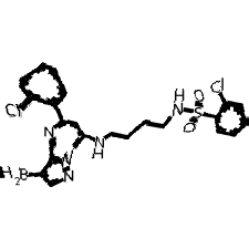 Bc1cnn2c(NCCCCNS(=O)(=O)c3ccccc3Cl)cc(-c3ccccc3Cl)nc12